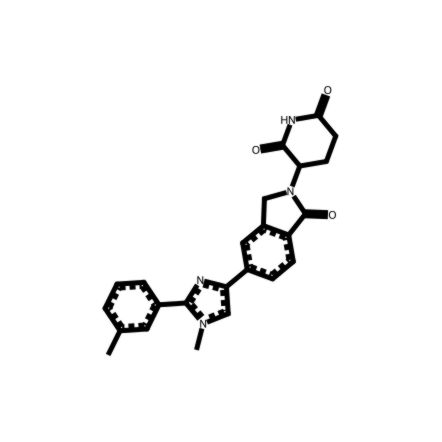 Cc1cccc(-c2nc(-c3ccc4c(c3)CN(C3CCC(=O)NC3=O)C4=O)cn2C)c1